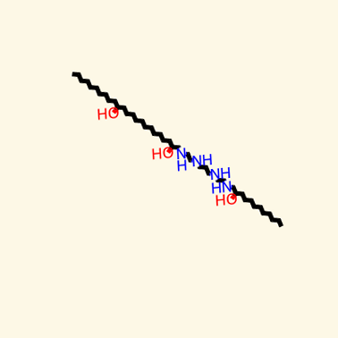 CCCCCCCCCCC(O)CCCCCCCCCCCC(O)CNCCNCCCNCCNCC(O)CCCCCCCCCC